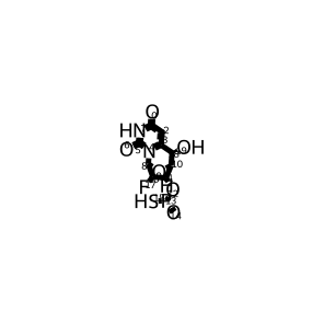 O=c1cc2n(c(=O)[nH]1)C1OC(C(O[PH](=O)S)C1F)[C@@H]2O